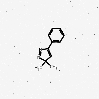 CC1(C)C=C(c2ccccc2)N=N1